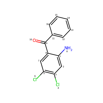 Nc1cc(Cl)c(Cl)cc1C(=O)c1ccccc1